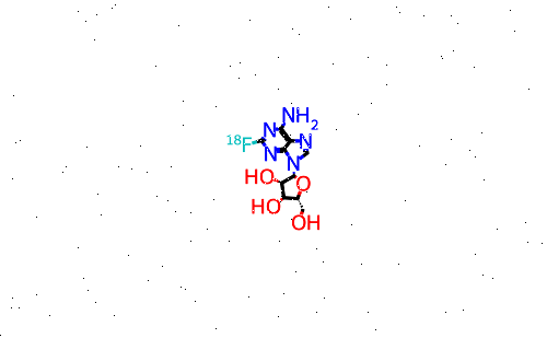 Nc1nc([18F])nc2c1ncn2[C@@H]1O[C@H](CO)[C@@H](O)[C@H]1O